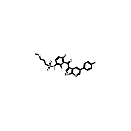 COCCCS(=O)(=O)Nc1ccc(F)c(C(=O)c2c[nH]c3ncc(-c4ccc(C)cc4)cc23)c1F